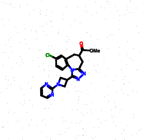 COC(=O)C1Cc2cc(Cl)ccc2-n2c(nnc2C2CN(c3ncccn3)C2)C1